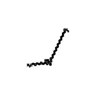 CCCCCCCCCCCCCCCCOOP(=O)(O)OCCOCCOCC